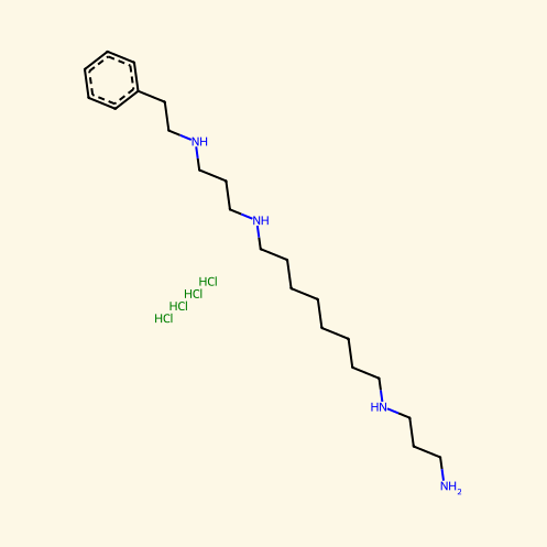 Cl.Cl.Cl.Cl.NCCCNCCCCCCCCNCCCNCCc1ccccc1